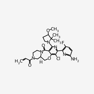 C=CC(=O)N1CCN2C(=O)c3c(N4CCC(OC)C4(C)C)nc(-c4nc(N)ccc4F)c(Cl)c3OC[C@H]2C1